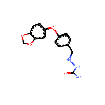 NC(=O)NNCc1ccc(Oc2ccc3c(c2)OCO3)cc1